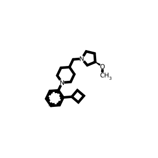 CO[C@@H]1CCN(CC2CCN(c3cc[c]cc3C3CCC3)CC2)C1